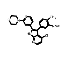 CNc1cc(-c2c(-c3ccnc(N4CCOCC4)c3)[nH]c3nccc(Cl)c23)ccc1C